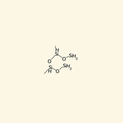 C[SiH](O[SiH3])O[SiH](C)O[SiH3]